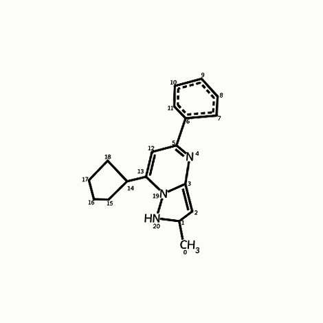 CC1C=C2N=C(c3ccccc3)C=C(C3CCCC3)N2N1